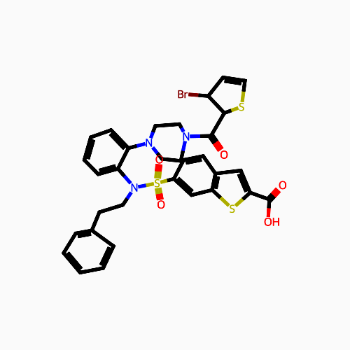 O=C(O)c1cc2ccc(S(=O)(=O)N(CCc3ccccc3)c3ccccc3N3CCN(C(=O)C4SC=CC4Br)CC3)cc2s1